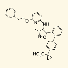 Cc1noc(-c2ccccc2-c2ccc(C3(C(=O)O)CC3)cc2)c1Nc1cccc(OCCc2ccccc2)n1